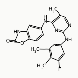 Cc1cnc(Nc2cc(C)c(C)c(F)c2)nc1Nc1ccc2oc(=O)[nH]c2c1